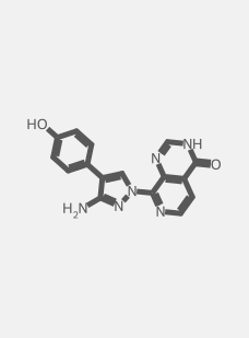 Nc1nn(-c2nccc3c(=O)[nH]cnc23)cc1-c1ccc(O)cc1